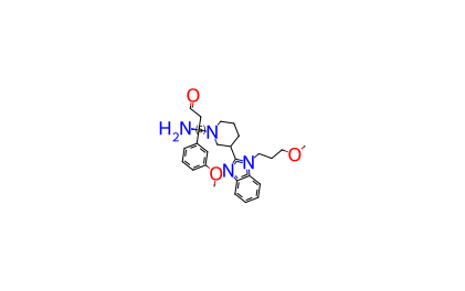 COCCCn1c(C2CCCN([C@@](N)(CC=O)c3cccc(OC)c3)C2)nc2ccccc21